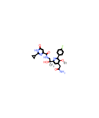 CCOc1c(CC(N)=O)cc([C@@](O)(CNC(=O)c2cc(=O)[nH]c(C3CC3)n2)C(F)(F)F)nc1-c1ccc(F)cc1